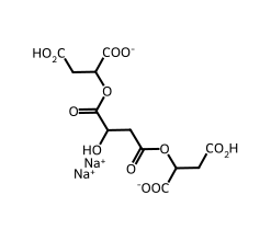 O=C(O)CC(OC(=O)CC(O)C(=O)OC(CC(=O)O)C(=O)[O-])C(=O)[O-].[Na+].[Na+]